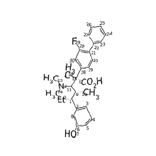 CC[C@@H](c1cccc(O)c1)[C@@H](C)C(N(C)C)[C@](C)(C(=O)O)c1ccc(-c2ccccc2)c(F)c1